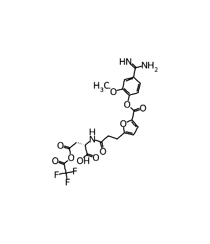 COc1cc(C(=N)N)ccc1OC(=O)c1ccc(CCC(=O)N[C@@H](CC(=O)OC(=O)C(F)(F)F)C(=O)O)o1